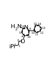 CC(C)CCOc1cc(N)nc(-c2ccccc2)c1